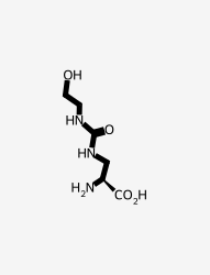 N[C@@H](CNC(=O)NCCO)C(=O)O